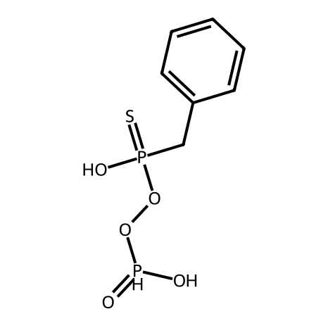 O=[PH](O)OOP(O)(=S)Cc1ccccc1